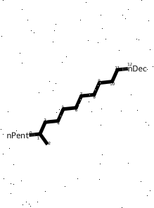 [CH2]CCCCC(C)CCCCCCCCCCCCCCCCCCC